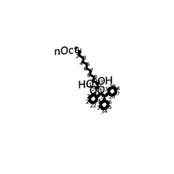 CCCCCCCCC=CCCCCCCCC(O)C(O)C(=O)OC(c1ccccc1)C(c1ccccc1)c1ccccc1